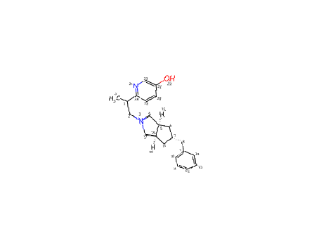 CC(CN1C[C@H]2C[C@H](Cc3ccccc3)C[C@H]2C1)c1ccc(O)cn1